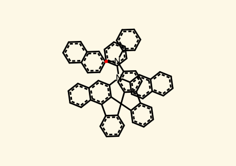 c1ccc(N(c2ccc3c(c2)C2(c4ccccc4-3)c3ccccc3-c3c2c(N(c2ccccc2)c2ccc4ccccc4c2)cc2ccccc32)c2ccc3ccccc3c2)cc1